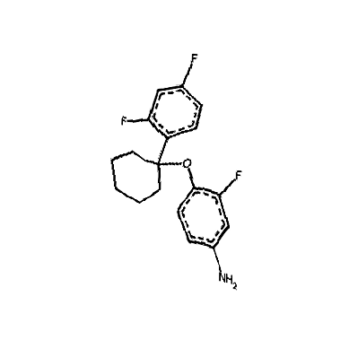 Nc1ccc(OC2(c3ccc(F)cc3F)CCCCC2)c(F)c1